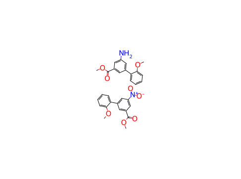 COC(=O)c1cc(-c2ccccc2OC)cc([N+](=O)[O-])c1.COC(=O)c1cc(N)cc(-c2ccccc2OC)c1